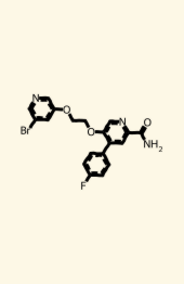 NC(=O)c1cc(-c2ccc(F)cc2)c(OCCOc2cncc(Br)c2)cn1